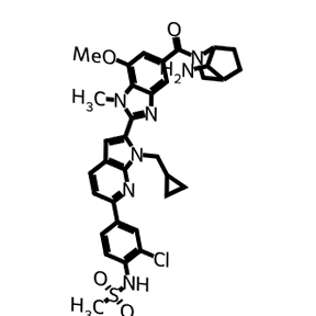 COc1cc(C(=O)N2CC3CCC2C3N)cc2nc(-c3cc4ccc(-c5ccc(NS(C)(=O)=O)c(Cl)c5)nc4n3CC3CC3)n(C)c12